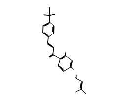 CC(C)=CCOc1ccc(C(=O)C=Cc2ccc(C(C)(C)C)cc2)c(O)c1